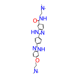 CN(C)CCCNC(=O)c1ccc2nc(-c3ccc(-c4nc5ccc(OCCCN(C)C)cc5[nH]4)cc3)[nH]c2c1